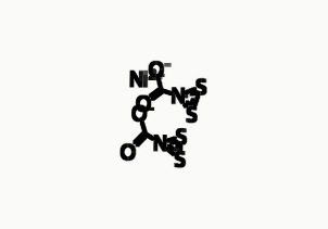 O=C([O-])n1ss1.O=C([O-])n1ss1.[Ni+2]